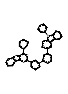 c1ccc(-c2nc(-c3cccc(-c4cccc(-c5ccc6c(c5)c5ccccc5n6-c5ccccc5)c4)c3)nc3c2oc2ccccc23)cc1